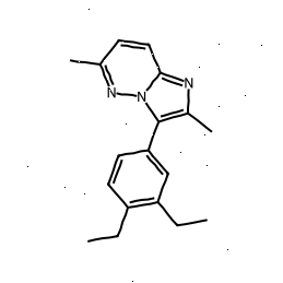 CCc1ccc(-c2c(C)nc3ccc(C)nn23)cc1CC